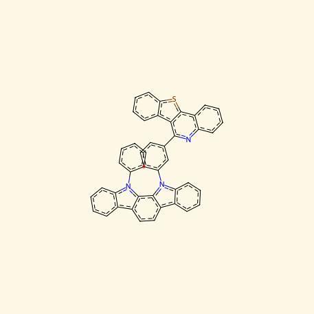 c1ccc(-n2c3ccccc3c3ccc4c5ccccc5n(-c5cccc(-c6nc7ccccc7c7sc8ccccc8c67)c5)c4c32)cc1